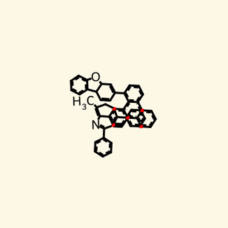 C\C1=C(c2c#cc3c4ccccc4c4cccc(C5=CC6Oc7ccccc7C6C=C5)c4c3c2)/N=C(c2ccccc2)\C=C(\c2ccccc2)CC1